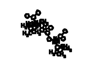 CC(/N=C(\N=C(/N)c1cc(-c2ccccc2)cc(-c2ccccc2)c1)c1ccc2c(c1)C(C)(C)CCC2(C)C)c1cccc2c1-c1ccccc1C2(c1ccccc1)c1ccc(-c2cccc(-c3nc(-c4ccc5c(c4)C(C)(C)CCC5(C)C)nc(-c4ccc(-c5ccccc5)c5ccccc45)n3)c2)cc1